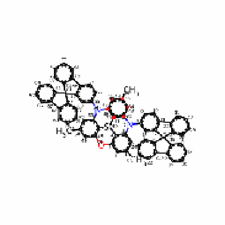 Cc1cc2c3c(c1)N(c1ccc4c(c1)C1(c5ccccc5-c5ccccc51)c1ccccc1-4)c1cc(C)cc4c1[Si]3(c1ccccc1)c1c(cc(C)cc1N4c1ccc3c(c1)C1(c4ccccc4-c4ccccc41)c1ccccc1-3)O2